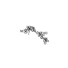 CC1(C)C(=O)N(c2ccc(C#N)c(C(F)(F)F)c2)C(=S)N1c1ccc(OCC2CCN(C(OC=O)C(=O)Nc3cccc(NC4CCC(=O)NC4=O)c3)CC2)c(F)c1